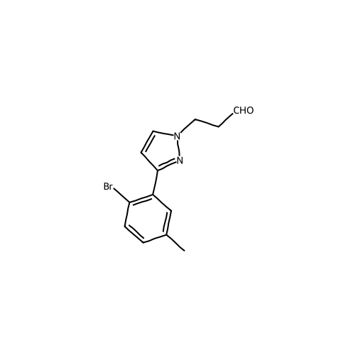 Cc1ccc(Br)c(-c2ccn(CCC=O)n2)c1